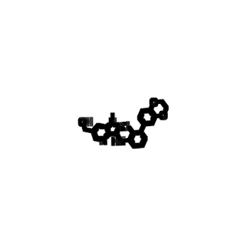 Cn1nc(Nc2cccc(-c3ccc4c(c3)OCCO4)c2Cl)c2ncc(CO)cc21